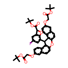 CC(C)(C)OC(=O)COc1ccc2c3c(ccc2c1)Oc1ccc2cc(OCC(=O)OC(C)(C)C)ccc2c1C3c1cc(I)cc2c1OC2C(=O)OC(C)(C)C